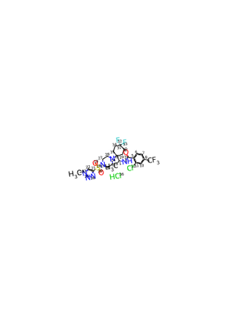 CC(NC(=O)c1ccc(C(F)(F)F)cc1Cl)C1(N2CCN(S(=O)(=O)c3cn(C)nn3)CC2)CCC(F)(F)CC1.Cl